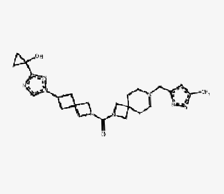 O=C(N1CC2(CCN(Cc3cc(C(F)(F)F)sn3)CC2)C1)N1CC2(CC(n3cnc(C4(O)CC4)n3)C2)C1